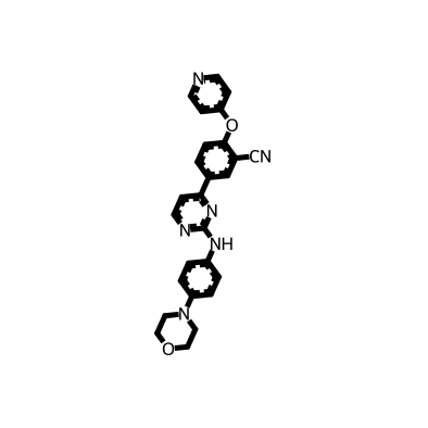 N#Cc1cc(-c2ccnc(Nc3ccc(N4CCOCC4)cc3)n2)ccc1Oc1ccncc1